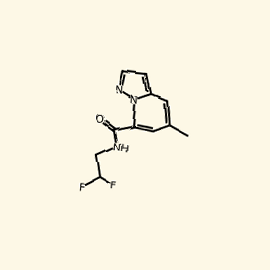 Cc1cc(C(=O)NCC(F)F)n2nccc2c1